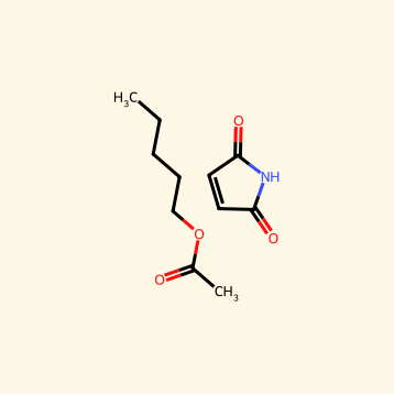 CCCCCOC(C)=O.O=C1C=CC(=O)N1